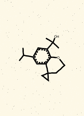 CC(C)c1cc(C(C)(C)O)c2c(c1)C1(CCO2)CC1